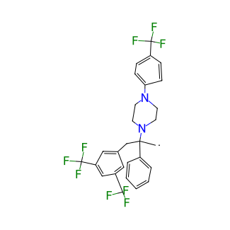 [CH2]C(Cc1cc(C(F)(F)F)cc(C(F)(F)F)c1)(c1ccccc1)N1CCN(c2ccc(C(F)(F)F)cc2)CC1